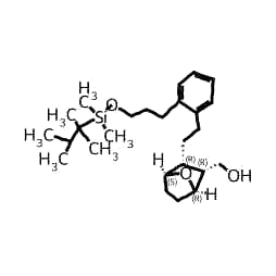 CC(C)C(C)(C)[Si](C)(C)OCCCc1ccccc1CC[C@@H]1[C@H](CO)[C@H]2CC[C@@H]1O2